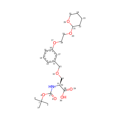 CC(C)(C)OC(=O)N[C@@H](COCc1cccc(OCCOC2CCCCO2)c1)C(=O)O